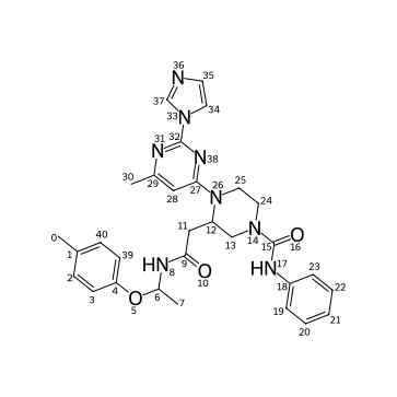 Cc1ccc(OC(C)NC(=O)CC2CN(C(=O)Nc3ccccc3)CCN2c2cc(C)nc(-n3ccnc3)n2)cc1